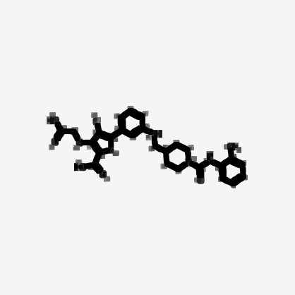 Cc1ccccc1NC(=O)N1CCC(CNc2cccc(-c3sc(C(=O)O)c(OCC(=O)O)c3Cl)c2)CC1